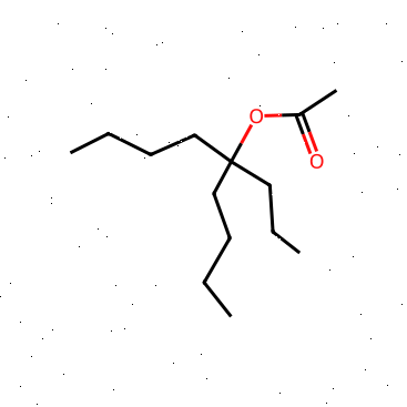 CCCCC(CCC)(CCCC)OC(C)=O